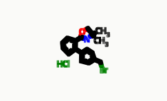 CC1(C)COC(c2ccccc2-c2ccc(CBr)cc2)=N1.Cl